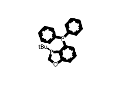 CC(C)(C)[P@]1COc2cccc(P(c3ccccc3)c3ccccc3)c21